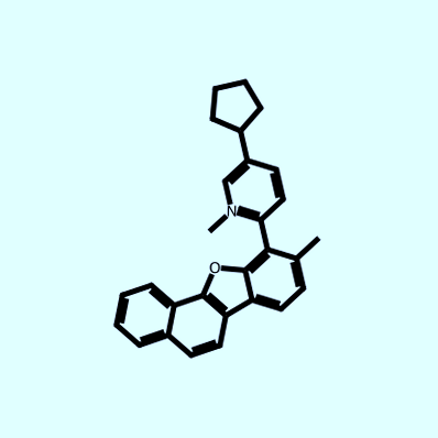 Cc1ccc2c(oc3c4ccccc4ccc23)c1-c1ccc(C2CCCC2)c[n+]1C